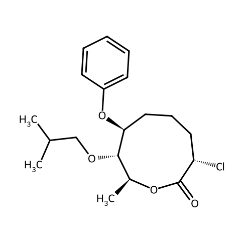 CC(C)CO[C@H]1[C@H](C)OC(=O)[C@@H](Cl)CCC[C@@H]1Oc1ccccc1